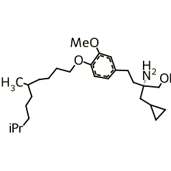 COc1cc(CC[C@@](N)(CO)CC2CC2)ccc1OCCCCC(C)CCCC(C)C